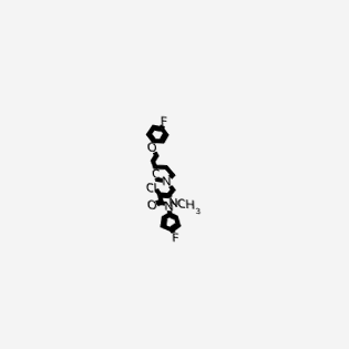 Cn1c(CN2CCC(CCOc3ccc(F)cc3)CC2)c(Cl)c(=O)n1-c1ccc(F)cc1